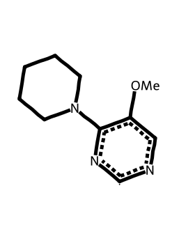 COc1cn[c]nc1N1CCCCC1